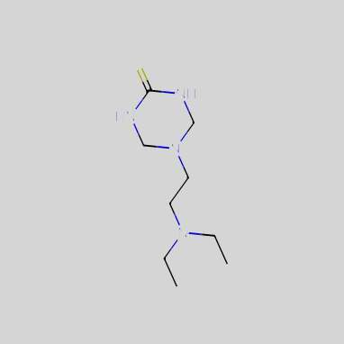 CCN(CC)CCN1CNC(=S)NC1